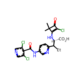 CCC(c1ccc(NC(=O)c2c(Cl)cncc2Cl)cn1)[C@H](NC1=C(Cl)C(=O)C1(C)C)C(=O)O